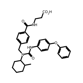 CC1CCCCC1N(Cc1ccc(C(=O)NCCC(=O)O)cc1)C(=O)Nc1ccc(Oc2ccccc2)cc1